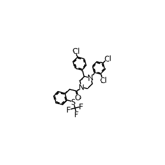 O=C(Cc1ccccc1SC(F)(F)F)N1CCN(c2ccc(Cl)cc2Cl)C(c2ccc(Cl)cc2)C1